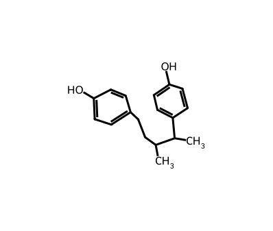 CC(CCc1ccc(O)cc1)C(C)c1ccc(O)cc1